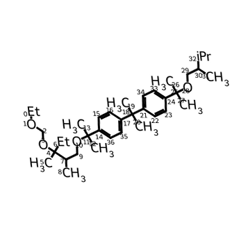 CCOCOC(C)(CC)C(C)COC(C)(C)c1ccc(C(C)(C)c2ccc(C(C)(C)OCC(C)C(C)C)cc2)cc1